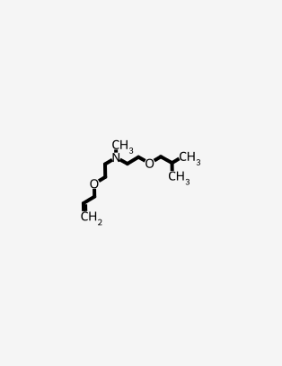 C=CCOCCN(C)CCOCC(C)C